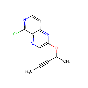 CC#CC(C)Oc1cnc2c(Cl)nccc2n1